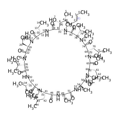 C/C=C/C[C@@H](C)[C@@H](O)[C@H]1C(=O)N[C@@H](CC)C(=O)N(C)[C@H](CO)C(=O)N(C)[C@@H](C(C)C)C(=O)N[C@@H](C(C)C)C(=O)N(C)[C@@H](CC(C)C)C(=O)N[C@@H](C)C(=O)N[C@H](C)C(=O)N(C)[C@@H](CC(C)C)C(=O)N(C)[C@@H](CC(C)C)C(=O)N(C)[C@@H](C(C)C)C(=O)N1C